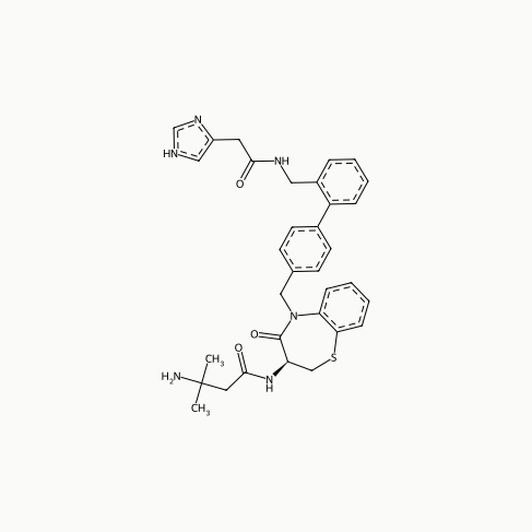 CC(C)(N)CC(=O)N[C@@H]1CSc2ccccc2N(Cc2ccc(-c3ccccc3CNC(=O)Cc3c[nH]cn3)cc2)C1=O